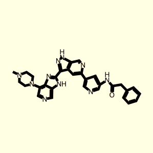 CN1CCN(c2cncc3[nH]c(-c4n[nH]c5cnc(-c6cncc(NC(=O)Cc7ccccc7)c6)cc45)nc23)CC1